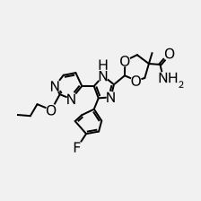 CCCOc1nccc(-c2[nH]c(C3OCC(C)(C(N)=O)CO3)nc2-c2ccc(F)cc2)n1